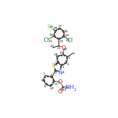 Cc1cc2nc(-c3ccccc3OC(N)=O)sc2cc1OC(C)c1c(Cl)ccc(F)c1Cl